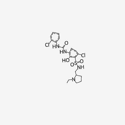 CCN1CCCC1CNS(=O)(=O)c1c(Cl)ccc(NC(=O)Nc2ccccc2Cl)c1O